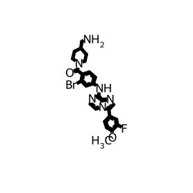 COc1ccc(-c2cnc3c(Nc4ccc(C(=O)N5CCC(CN)CC5)c(Br)c4)nccn23)cc1F